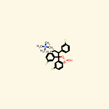 CCC(c1cccc(F)c1)C(OB([O-])O)(c1cccc(F)c1)c1cccc(F)c1.C[N+](C)(C)C